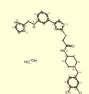 Cl.Cl.O=C(CSc1nc(-c2cccc(NCc3ncc[nH]3)c2)cs1)NC1CCN(Cc2ccc(Cl)c(Cl)c2)CC1